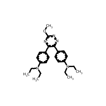 CCN(CC)c1ccc(-c2nnc(OC)nc2-c2ccc(N(CC)CC)cc2)cc1